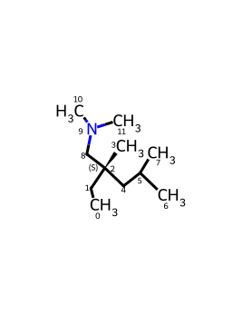 CC[C@@](C)(CC(C)C)CN(C)C